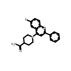 NC(=O)C1CCN(c2cc(-c3ccccc3)nc3ccc(F)cc23)CC1